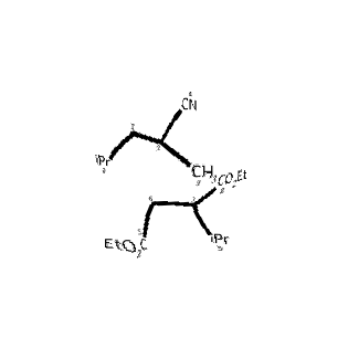 CC(C)CC(C)C#N.CCOC(=O)CC(C(=O)OCC)C(C)C